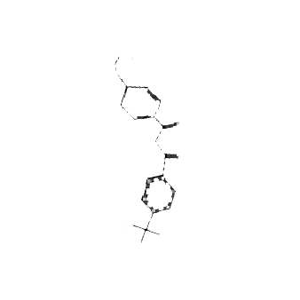 COC1C=CC(C(=O)CC(=O)c2ccc(C(C)(C)C)cc2)=CC1